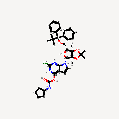 CC1(C)O[C@@H]2[C@H](O1)[C@@H](CO[Si](c1ccccc1)(c1ccccc1)C(C)(C)C)O[C@H]2n1ccc2c(OC(=O)NC3CCCC3)nc(Cl)nc21